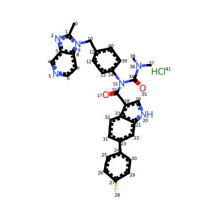 Cc1nc2cnccc2n1Cc1ccc(N(C(=O)c2c[nH]c3cc(-c4ccc(F)cc4)ccc23)C(=O)N(C)C)cc1.Cl